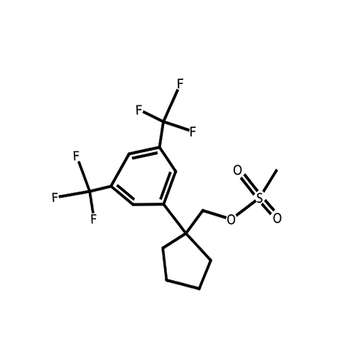 CS(=O)(=O)OCC1(c2cc(C(F)(F)F)cc(C(F)(F)F)c2)CCCC1